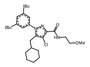 COCCNC(=O)c1nn(-c2cc(C(C)(C)C)cc(C(C)(C)C)c2)c(CC2CCCCC2)c1Cl